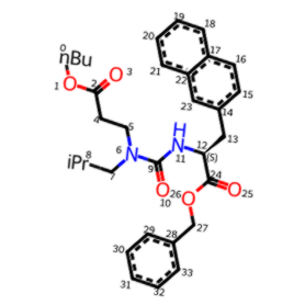 CCCCOC(=O)CCN(CC(C)C)C(=O)N[C@@H](Cc1ccc2ccccc2c1)C(=O)OCc1ccccc1